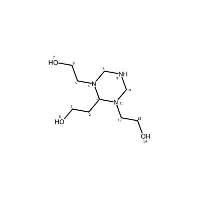 OCCC1N(CCO)CNCN1CCO